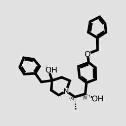 C[C@@H]([C@@H](O)c1ccc(OCc2ccccc2)cc1)N1CCC(O)(Cc2ccccc2)CC1